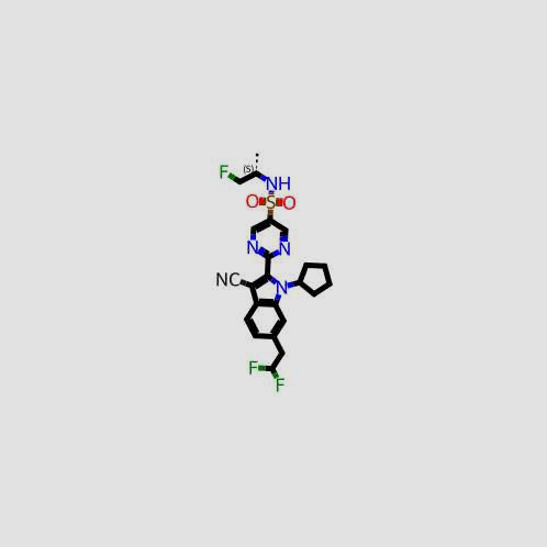 C[C@@H](CF)NS(=O)(=O)c1cnc(-c2c(C#N)c3ccc(CC(F)F)cc3n2C2CCCC2)nc1